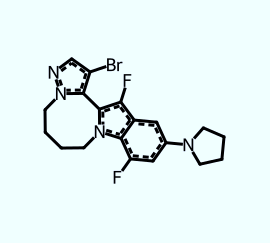 Fc1c2n(c3c(F)cc(N4CCCC4)cc13)CCCCn1ncc(Br)c1-2